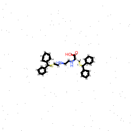 O=C(O)[C@H](CSC(c1ccccc1)c1ccccc1)NCCNCCSC(c1ccccc1)c1ccccc1